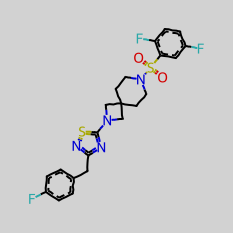 O=S(=O)(c1cc(F)ccc1F)N1CCC2(CC1)CN(c1nc(Cc3ccc(F)cc3)ns1)C2